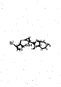 Cc1c(Br)csc1NC1(c2nc3c(n2C)CCN(C)C3)CC1